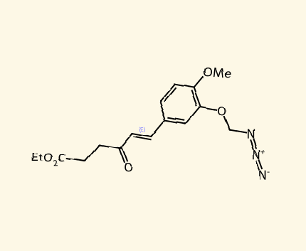 CCOC(=O)CCC(=O)/C=C/c1ccc(OC)c(OCN=[N+]=[N-])c1